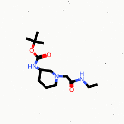 CCNC(=O)CN1CCCC(NC(=O)OC(C)(C)C)C1